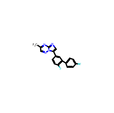 Fc1ccc(-c2cc(-c3cnc4nc(C(F)(F)F)cnn34)ccc2F)cc1